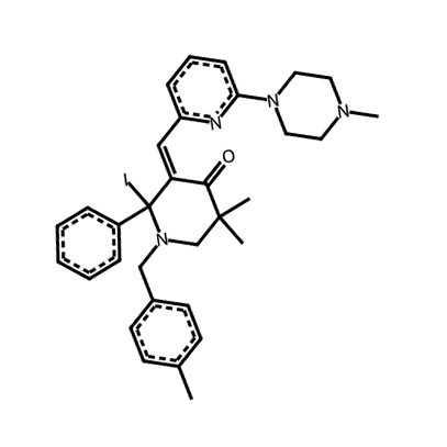 Cc1ccc(CN2CC(C)(C)C(=O)C(=Cc3cccc(N4CCN(C)CC4)n3)C2(I)c2ccccc2)cc1